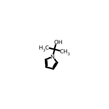 CC(C)(O)n1cccc1